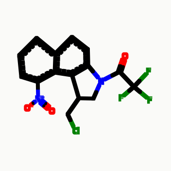 O=C(N1CC(CCl)c2c1ccc1cccc([N+](=O)[O-])c21)C(F)(F)F